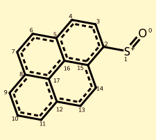 O=[S+]c1ccc2ccc3cccc4ccc1c2c34